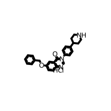 Cl.O=c1c2cc(OCc3ccccc3)ccc2ncn1-c1ccc(C2CCNCC2)cc1